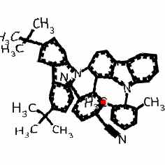 Cc1cccc(C)c1-n1c2ccccc2c2ccc(-n3c4ccc(C(C)(C)C)cc4c4cc(C(C)(C)C)ccc43)c(-c3cc(C#N)ccc3C#N)c21